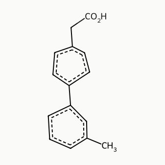 Cc1cccc(-c2ccc(CC(=O)O)cc2)c1